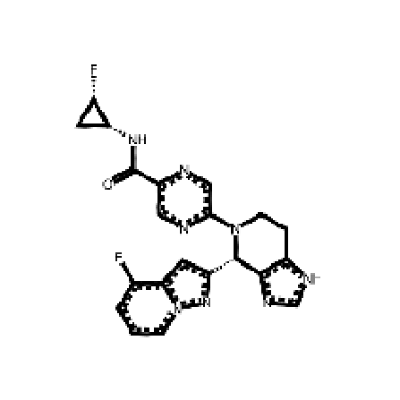 O=C(N[C@@H]1C[C@@H]1F)c1cnc(N2CCc3[nH]cnc3[C@@H]2c2cc3c(F)cccn3n2)cn1